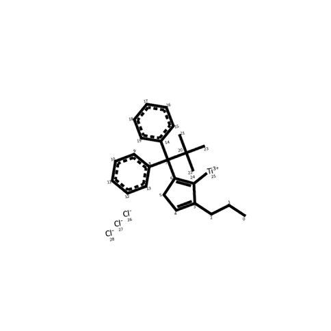 CCCC1=CCC(C(c2ccccc2)(c2ccccc2)C(C)(C)C)=[C]1[Ti+3].[Cl-].[Cl-].[Cl-]